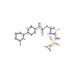 Cc1cncc(-c2ccc(NC(=O)Cc3csc(NS(=O)(=O)C4CC4)n3)cc2)c1